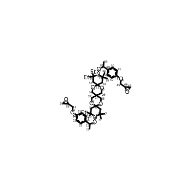 CCC1(CC)CC2(CC(C)(C)N1OC(C)c1ccc(OCC3CO3)cc1)OCC1(CO2)COC2(CC(C)(C)N(OC(C)c3ccc(OCC4CO4)cc3)C(CC)(CC)C2)OC1